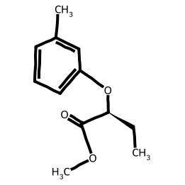 CC[C@H](Oc1cccc(C)c1)C(=O)OC